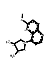 COc1ccc2nccc(N3CC(N)C(O)C3)c2n1